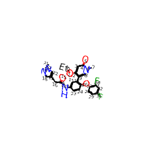 CCOc1cc(=O)n(C)cc1-c1cc(NC(=O)Cc2cnn(C)c2)ccc1Oc1ccc(F)cc1F